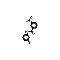 O=C(Nc1cccc(Br)n1)c1cccc([N+](=O)[O-])c1